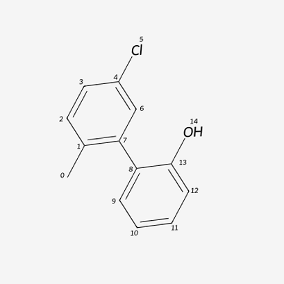 Cc1ccc(Cl)cc1-c1ccccc1O